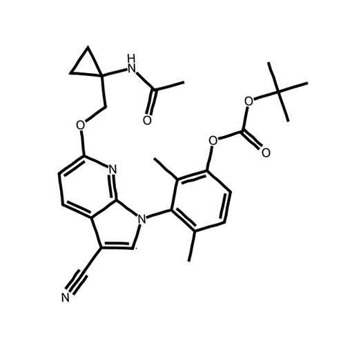 CC(=O)NC1(COc2ccc3c(C#N)[c]n(-c4c(C)ccc(OC(=O)OC(C)(C)C)c4C)c3n2)CC1